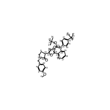 COc1ccc(CN2CCC(c3nnc(-c4ncccc4N(C(=O)OC(C)(C)C)c4ccc(C(F)(F)F)cc4)o3)C2=O)cc1